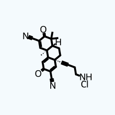 CC1(C)C(=O)C(C#N)=C[C@]2(C)C3=CC(=O)C(C#N)=C[C@]3(C#CCCNCl)CC[C@@H]12